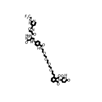 NC(=O)c1nn(-c2ccc(C(=O)NCCOCCOCCOCCOCCCc3cccc4c3C(=O)N(C3CCC(=O)NC3=O)C4=O)cc2)cc1NC(=O)c1coc(-c2ccnc(NCC(F)(F)F)c2)n1